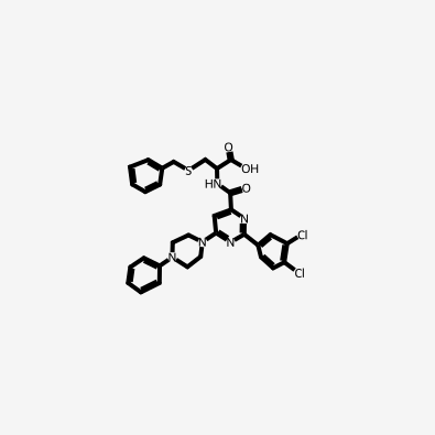 O=C(NC(CSCc1ccccc1)C(=O)O)c1cc(N2CCN(c3ccccc3)CC2)nc(-c2ccc(Cl)c(Cl)c2)n1